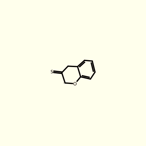 S=C1[CH]Oc2ccccc2C1